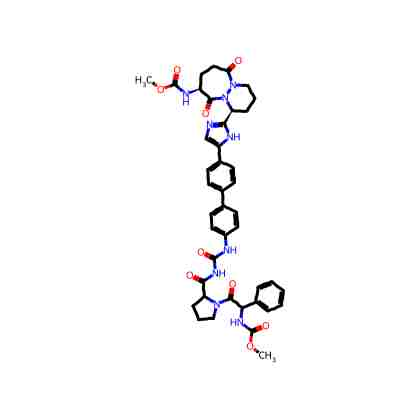 COC(=O)NC(C(=O)N1CCCC1C(=O)NC(=O)Nc1ccc(-c2ccc(-c3cnc([C@@H]4CCCN5C(=O)CC[C@H](NC(=O)OC)C(=O)N45)[nH]3)cc2)cc1)c1ccccc1